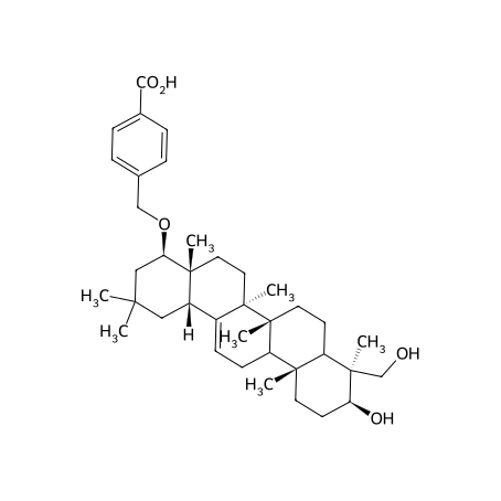 CC1(C)C[C@@H](OCc2ccc(C(=O)O)cc2)[C@]2(C)CC[C@]3(C)C(=CCC4[C@@]5(C)CC[C@H](O)[C@](C)(CO)C5CC[C@]43C)[C@@H]2C1